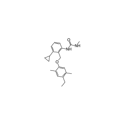 CCc1cc(C)c(OCc2c(NC(=O)NC)cccc2C2CC2)cc1C